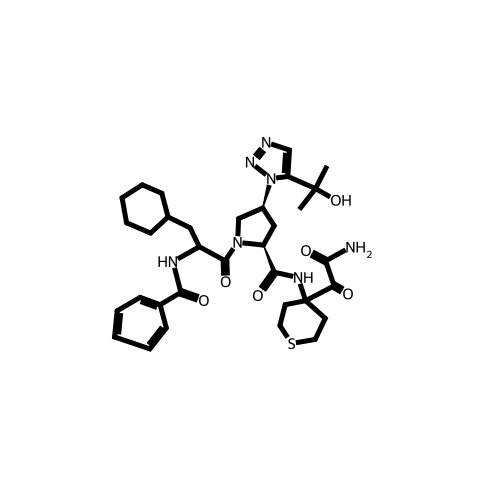 CC(C)(O)c1cnnn1[C@H]1C[C@@H](C(=O)NC2(C(=O)C(N)=O)CCSCC2)N(C(=O)C(CC2CCCCC2)NC(=O)c2ccccc2)C1